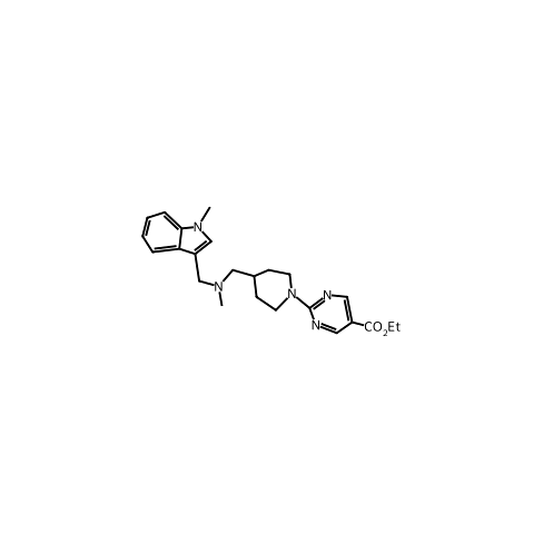 CCOC(=O)c1cnc(N2CCC(CN(C)Cc3cn(C)c4ccccc34)CC2)nc1